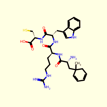 CC1(C[C@@H](N)C(=O)N[C@@H](CCCNC(=N)N)C(=O)N[C@@H](Cc2c[nH]c3ccccc23)C(=O)N[C@@H](CS)C(=O)O)C=CC=CC1